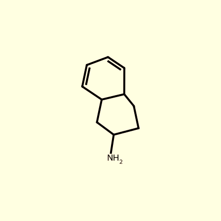 NC1CCC2C=CC=CC2C1